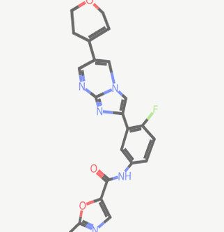 Cc1ncc(C(=O)Nc2ccc(F)c(-c3cn4cc(C5=CCOCC5)cnc4n3)c2)o1